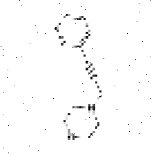 C(#Cc1cccnc1)CN1CCOCC1